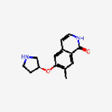 Cc1cc2c(=O)[nH]ccc2cc1O[C@H]1CCNC1